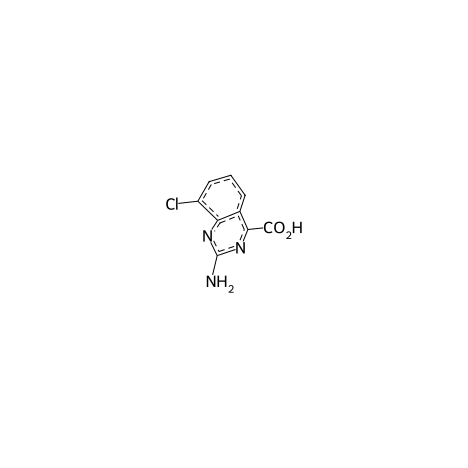 Nc1nc(C(=O)O)c2cccc(Cl)c2n1